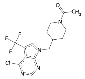 CC(=O)N1CCC(Cn2cc(C(F)(F)F)c3c(Cl)ncnc32)CC1